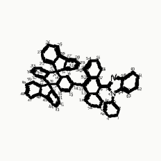 c1ccc(-n2c(-c3c4ccccc4c(-c4ccc5c(c4)C4(c6ccccc6-c6ccccc64)c4ccccc4C54c5ccccc5-c5ccccc54)c4ccccc34)nc3ccccc32)cc1